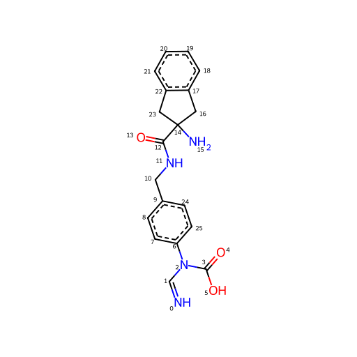 N=CN(C(=O)O)c1ccc(CNC(=O)C2(N)Cc3ccccc3C2)cc1